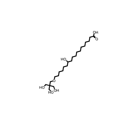 O=C(O)CCCCCCCCCCC(O)CCCCCCOCC(CO)(CO)CO